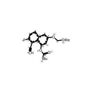 C#Cc1c(F)ccc2cc(OCOC)cc(OC(=O)C(C)(C)C)c12